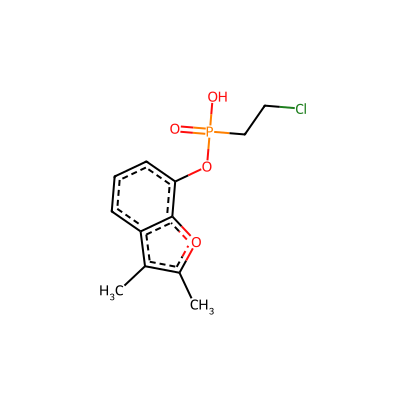 Cc1oc2c(OP(=O)(O)CCCl)cccc2c1C